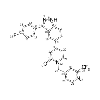 O=c1cc(-c2ccc3[nH]nc(-c4ccc(F)cc4)c3c2)ccn1Cc1ccnc(C(F)(F)F)c1